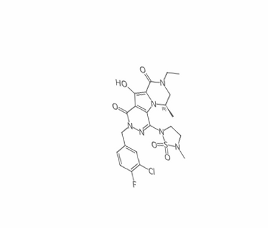 CCN1C[C@@H](C)n2c(c(O)c3c(=O)n(Cc4ccc(F)c(Cl)c4)nc(N4CCN(C)S4(=O)=O)c32)C1=O